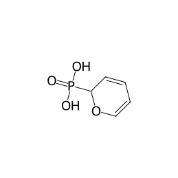 O=P(O)(O)C1C=CC=CO1